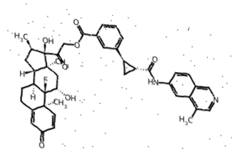 Cc1cncc2ccc(NC(=O)[C@@H]3C[C@H]3c3cccc(C(=O)OCC(=O)[C@@]4(O)[C@H](C)C[C@H]5[C@@H]6CCC7=CC(=O)C=C[C@]7(C)[C@@]6(F)[C@@H](O)C[C@@]54C)c3)cc12